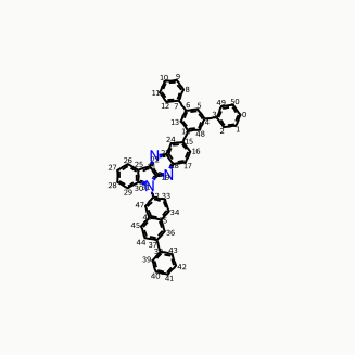 c1ccc(-c2cc(-c3ccccc3)cc(-c3ccc4nc5c(nc4c3)c3ccccc3n5-c3ccc4cc(-c5ccccc5)ccc4c3)c2)cc1